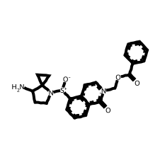 NC1CCN([S+]([O-])c2cccc3c(=O)n(COC(=O)c4ccccc4)ccc23)C12CC2